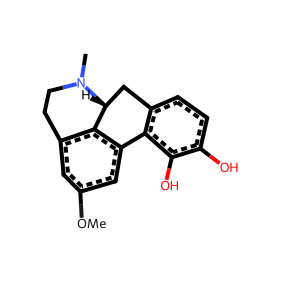 COc1cc2c3c(c1)-c1c(ccc(O)c1O)C[C@H]3N(C)CC2